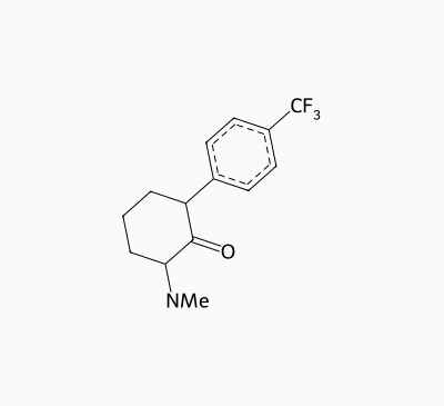 CNC1CCCC(c2ccc(C(F)(F)F)cc2)C1=O